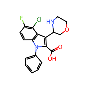 O=C(O)c1c(C2COCCN2)c2c(Cl)c(F)ccc2n1-c1ccccc1